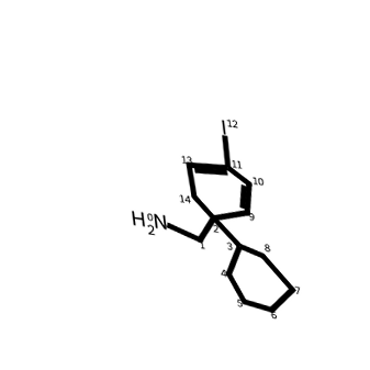 NCC1(C2CCCCC2)C=CC(I)=CC1